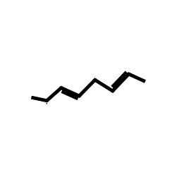 C[CH]/C=C/C/C=C/C